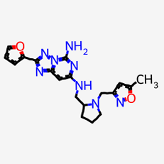 Cc1cc(CN2CCCC2CNc2cc3nc(-c4ccco4)nn3c(N)n2)no1